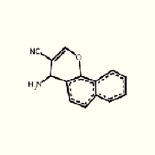 N#CC1=COc2c(ccc3ccccc23)C1N